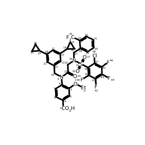 CCOc1cc(C(=O)O)ccc1N(Cc1cc(C2CC2)cc(C2CC2)c1)C(=O)CN(Cc1ccccc1C(F)(F)F)S(=O)(=O)c1c(F)c(F)c(F)c(F)c1Cl